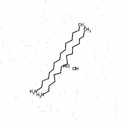 CCCCCCCCCCCCCCN.CCCCCCCCCCCCCCN.Cl.Cl